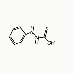 OC(=S)NNc1ccccc1